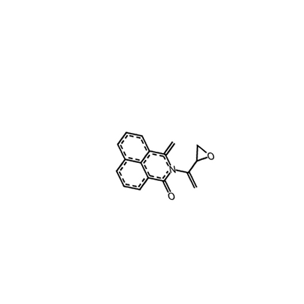 C=C(C1CO1)n1c(=C)c2cccc3cccc(c1=O)c32